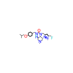 CC(C)COc1ccc(CNC(=O)N(Cc2cc(CF)n(C)n2)[C@H]2CCN(C)C[C@H]2F)cc1